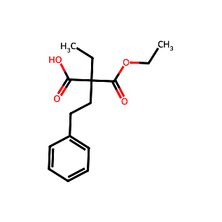 CCOC(=O)C(CC)(CCc1ccccc1)C(=O)O